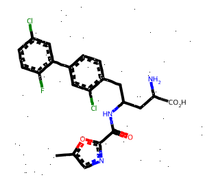 Cc1cnc(C(=O)NC(Cc2ccc(-c3cc(Cl)ccc3F)cc2Cl)CC(N)C(=O)O)o1